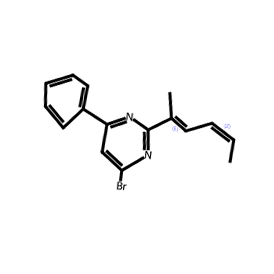 C/C=C\C=C(/C)c1nc(Br)cc(-c2ccccc2)n1